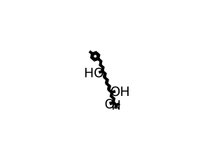 Cc1ccc(CCCC(O)C=CC=CC=CC(O)CCC(=O)N(C)C)cc1